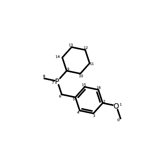 COc1ccc(CP(C)C2CCCCC2)cc1